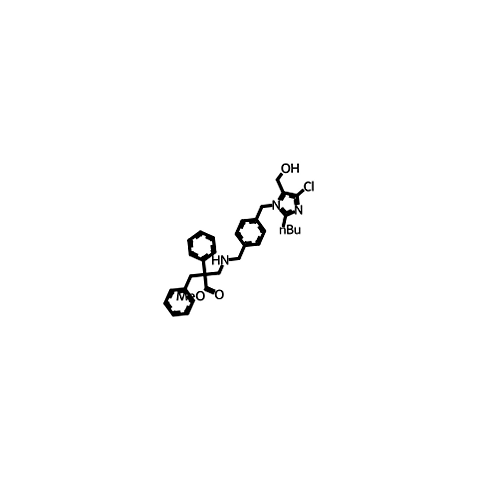 CCCCc1nc(Cl)c(CO)n1Cc1ccc(CNCC(Cc2ccccc2)(C(=O)OC)c2ccccc2)cc1